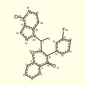 CC(c1oc2ccccc2c(=O)c1-c1cccc(F)c1)n1ncc2c(Cl)nccc21